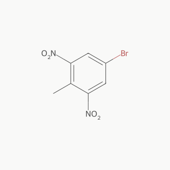 Cc1c([N+](=O)[O-])cc(Br)cc1[N+](=O)[O-]